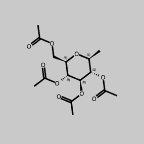 CC(=O)OC[C@H]1O[C@@H](C)[C@H](OC(C)=O)[C@@H](OC(C)=O)[C@@H]1OC(C)=O